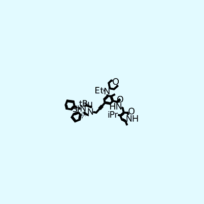 CCN(c1cc(C#CCN2C[C@@H](C)N([Si](c3ccccc3)(c3ccccc3)C(C)(C)C)[C@@H](C)C2)cc(C(=O)NCc2c(C(C)C)cc(C)[nH]c2=O)c1C)C1CCOCC1